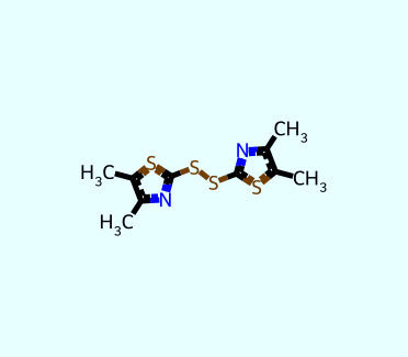 Cc1nc(SSc2nc(C)c(C)s2)sc1C